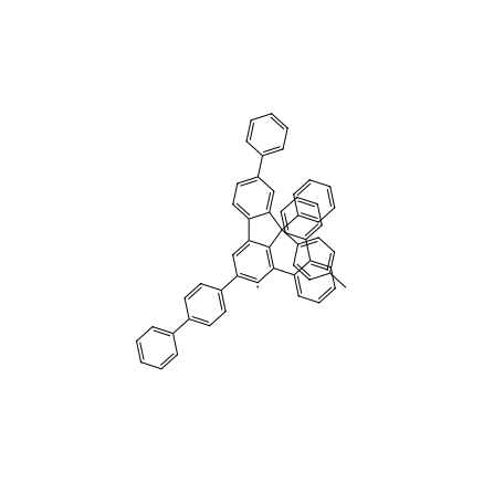 Cc1ccc(C2(c3ccccc3)c3cc(-c4ccccc4)ccc3-c3cc(-c4ccc(-c5ccccc5)cc4)[c]c(-c4ccccc4-c4ccccc4)c32)cc1